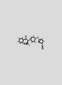 N#Cc1ccn(Cc2ccc(C(=O)Nc3ccccc3N)cc2)n1